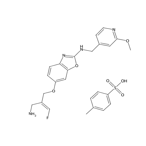 COc1cc(CNc2nc3ccc(OCC(=CF)CN)cc3o2)ccn1.Cc1ccc(S(=O)(=O)O)cc1